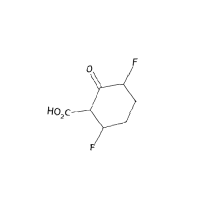 O=C(O)C1C(=O)C(F)CCC1F